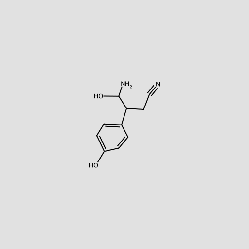 N#CCC(c1ccc(O)cc1)C(N)O